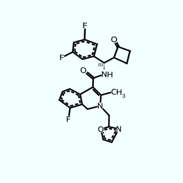 CC1=C(C(=O)N[C@H](c2cc(F)cc(F)c2)C2CCC2=O)c2cccc(F)c2CN1Cc1ncco1